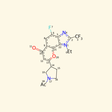 CCn1c(C(F)(F)F)nc2c(F)cc3c(=O)cc(C4CCN(C(C)=O)C4)oc3c21